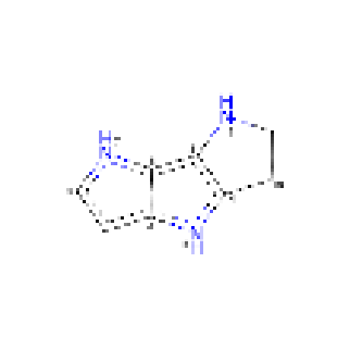 c1cc2[nH]c3c(c2[nH]1)NCC3